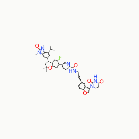 CC(C)c1cc(C2CC(C)(C)Oc3cc(-c4ccc(C(=O)NCC#Cc5ccc6occ(N7CCC(=O)NC7=O)c6c5)nc4)c(F)cc32)cc2c1n(C)c(=O)n2C